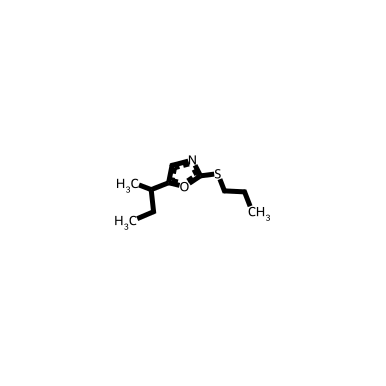 CCCSc1ncc(C(C)CC)o1